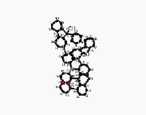 CC1(c2ccccc2)c2ccccc2-c2ccc(-c3ccc(N(c4ccccc4-c4cccc5c4oc4ccccc45)c4ccccc4-c4cccc5cccc(-c6ccccc6)c45)cc3)cc21